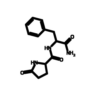 NC(=O)C(Cc1ccccc1)NC(=O)C1CCC(=O)N1